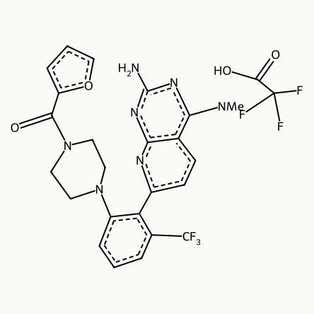 CNc1nc(N)nc2nc(-c3c(N4CCN(C(=O)c5ccco5)CC4)cccc3C(F)(F)F)ccc12.O=C(O)C(F)(F)F